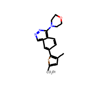 CCOC(=O)c1cc(C)c(-c2ccc3c(N4CCOCC4)nncc3c2)s1